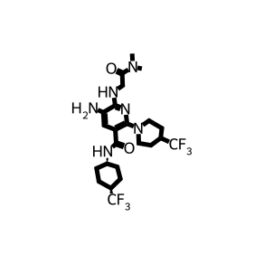 CN(C)C(=O)CNc1nc(N2CCC(C(F)(F)F)CC2)c(C(=O)N[C@H]2CC[C@H](C(F)(F)F)CC2)cc1N